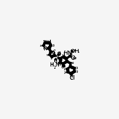 Cc1c(N)c(S(=O)(=O)c2ccc(-c3ccccn3)s2)cc(C(=O)NO)c1Cc1ccc(Cl)cc1